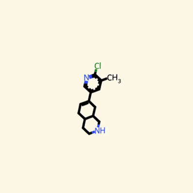 Cc1cc(C2=CCC3CCNCC3C2)cnc1Cl